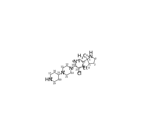 CCC1CCNC1(C)c1cnc(N2CCN(C3CCNCC3)CC2)c(Cl)c1